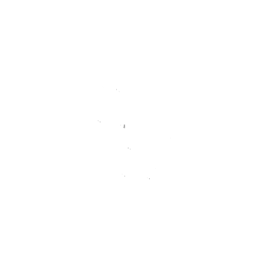 CS(=O)(=O)N1CCCC(Nc2ncccc2-c2cnc3[nH]cc(C4CC4)c3n2)C1